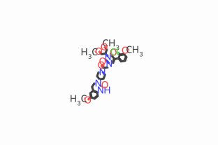 COCC(COC)n1c(=O)c(-c2cccc(OC)c2Cl)cn(CC(=O)N2CCC(N3CCc4cc(OC)ccc4NC3=O)CC2)c1=O